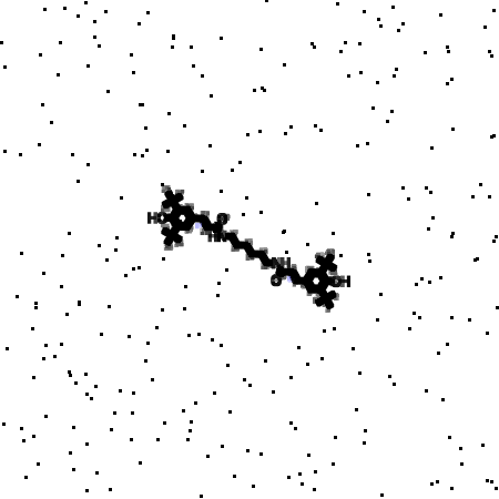 CC(C)(C)c1cc(/C=C/C(=O)NCCCCCCNC(=O)/C=C/c2cc(C(C)(C)C)c(O)c(C(C)(C)C)c2)cc(C(C)(C)C)c1O